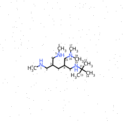 CNCC(CNC)CC(CNC(C)(C)C)CN(C)C